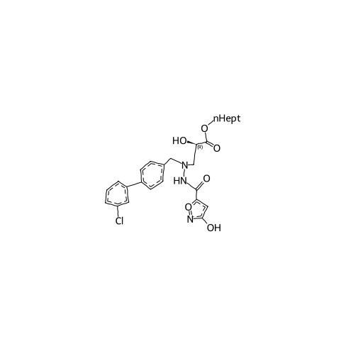 CCCCCCCOC(=O)[C@H](O)CN(Cc1ccc(-c2cccc(Cl)c2)cc1)NC(=O)c1cc(O)no1